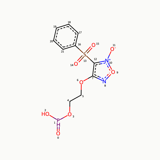 O=[PH](O)OCCOc1no[n+]([O-])c1S(=O)(=O)c1ccccc1